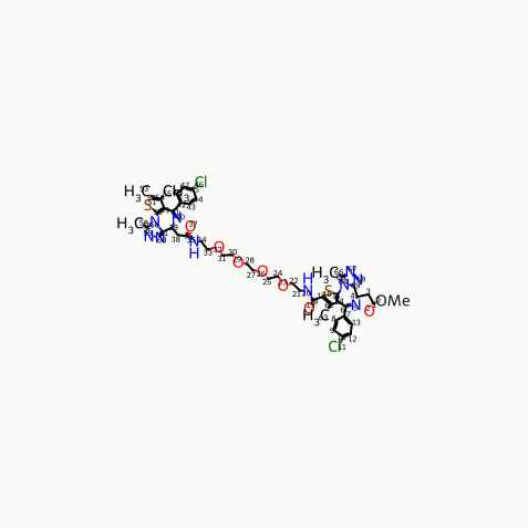 COC(=O)CC1N=C(c2ccc(Cl)cc2)c2c(sc(C(=O)NCCOCCOCCOCCOCCNC(=O)CC3N=C(c4ccc(Cl)cc4)c4c(sc(C)c4C)-n4c(C)nnc43)c2C)-n2c(C)nnc21